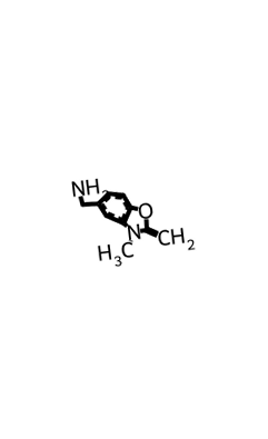 C=C1Oc2ccc(CN)cc2N1C